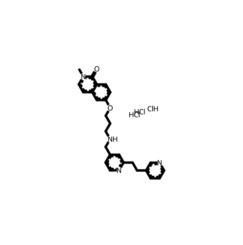 Cl.Cl.Cl.Cn1ccc2cc(OCCCNCc3ccnc(CCc4cccnc4)c3)ccc2c1=O